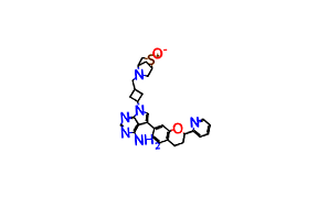 Nc1ncnc2c1c(-c1ccc3c(c1)OC(c1ccccn1)CC3)cn2C1CC(CN2CC3CC2C[S+]3[O-])C1